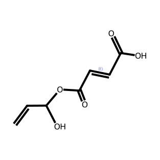 C=CC(O)OC(=O)/C=C/C(=O)O